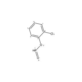 O=[PH]Oc1ccccc1Cl